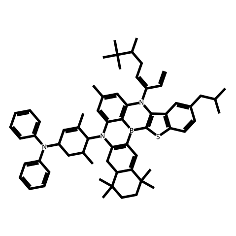 C=C/C(=C\CC(C)C(C)(C)C)N1c2cc(C)cc3c2B(C2=C(CC4C(=C2)C(C)(C)CCC4(C)C)N3C2C(C)=CC(N(c3ccccc3)c3ccccc3)CC2C)c2sc3ccc(CC(C)C)cc3c21